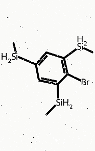 C[SiH2]c1cc([SiH2]C)c(Br)c([SiH2]C)c1